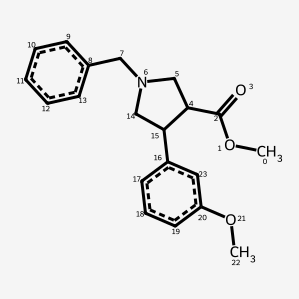 COC(=O)C1CN(Cc2ccccc2)CC1c1cccc(OC)c1